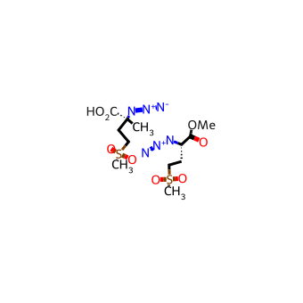 COC(=O)[C@H](CCS(C)(=O)=O)N=[N+]=[N-].C[C@@](CCS(C)(=O)=O)(N=[N+]=[N-])C(=O)O